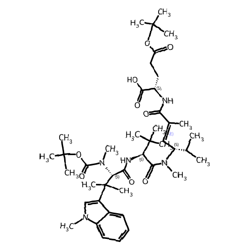 C/C(=C\[C@H](C(C)C)N(C)C(=O)[C@@H](NC(=O)[C@@H](N(C)C(=O)OC(C)(C)C)C(C)(C)c1cn(C)c2ccccc12)C(C)(C)C)C(=O)N[C@@H](CCC(=O)OC(C)(C)C)C(=O)O